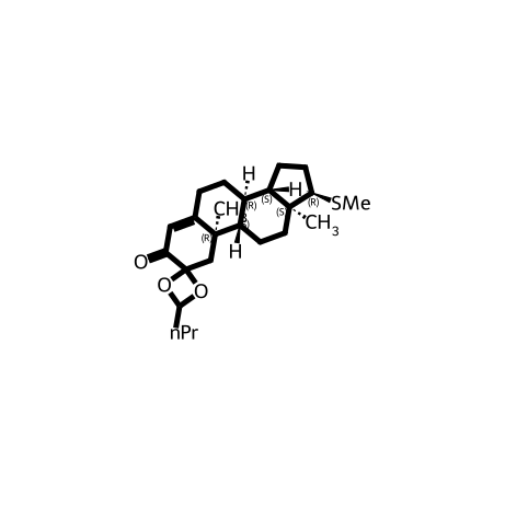 CCCC1OC2(C[C@@]3(C)C(=CC2=O)CC[C@H]2[C@@H]4CC[C@@H](SC)[C@@]4(C)CC[C@@H]23)O1